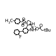 Cc1ccc(S(=O)(=O)N2CC[C@H]3C2c2cc(-c4ccccc4F)ccc2N[C@H]3COC(=O)CC(C)(C)C)cc1